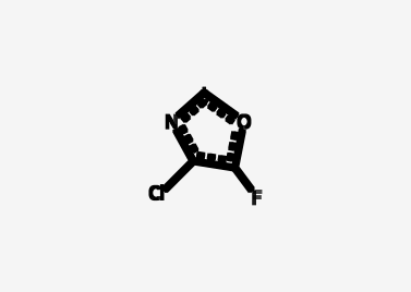 Fc1o[c]nc1Cl